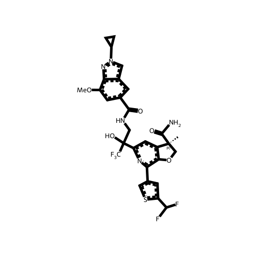 COc1cc(C(=O)NCC(O)(c2cc3c(c(-c4csc(C(F)F)c4)n2)OC[C@]3(C)C(N)=O)C(F)(F)F)cc2cn(C3CC3)nc12